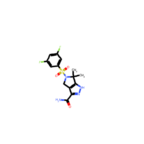 CC1(C)c2[nH]nc(C(N)=O)c2CN1S(=O)(=O)c1cc(F)cc(F)c1